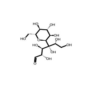 O=C[C@@H](O)[C@@H](O)[C@](O)([C@H](O)CO)[C@H]1O[C@H](CO)[C@@H](O)[C@H](O)[C@H]1O